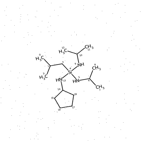 CC(C)C[Si](NC(C)C)(NC(C)C)NC1CCCC1